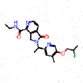 CCNC(=O)c1nccc2c1CN(C(C)c1cc(C)c(OCC(C)F)cn1)C2=O